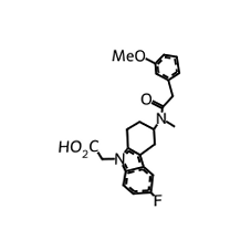 COc1cccc(CC(=O)N(C)C2CCc3c(c4cc(F)ccc4n3CC(=O)O)C2)c1